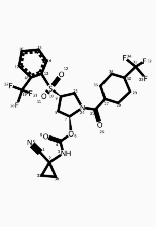 N#CC1(NC(=O)O[C@H]2C[C@@H](S(=O)(=O)c3ccccc3C(F)(F)F)CN2C(=O)C2CCC(C(F)(F)F)CC2)CC1